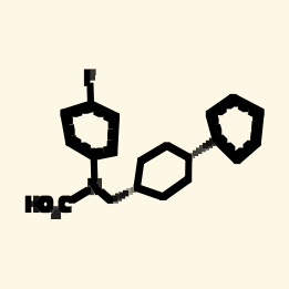 O=C(O)N(C[C@H]1CC[C@@H](c2ccccc2)CC1)c1ccc(F)cc1